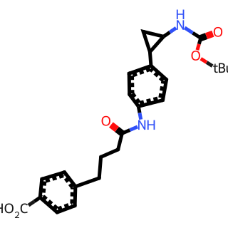 CC(C)(C)OC(=O)NC1CC1c1ccc(NC(=O)CCCc2ccc(C(=O)O)cc2)cc1